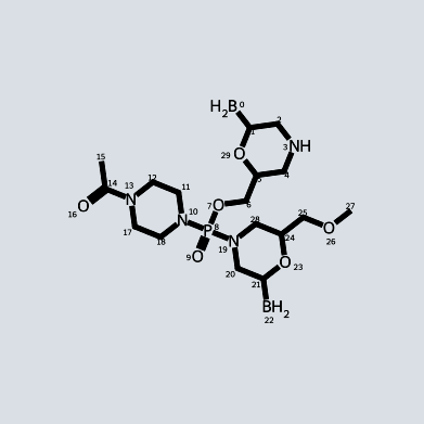 BC1CNCC(COP(=O)(N2CCN(C(C)=O)CC2)N2CC(B)OC(COC)C2)O1